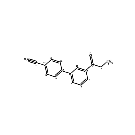 CCC(=O)c1cccc(-c2ccc(C#N)cc2)c1